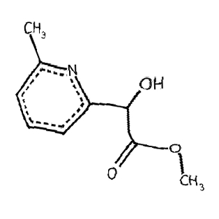 COC(=O)C(O)c1cccc(C)n1